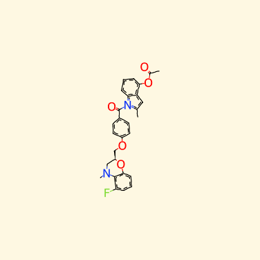 CC(=O)Oc1cccc2c1cc(C)n2C(=O)c1ccc(OC[C@@H]2CN(C)c3c(F)cccc3O2)cc1